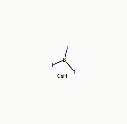 IB(I)I.[CsH]